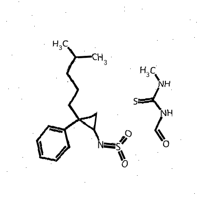 CC(C)CCCC1(c2ccccc2)CC1N=S(=O)=O.CNC(=S)NC=O